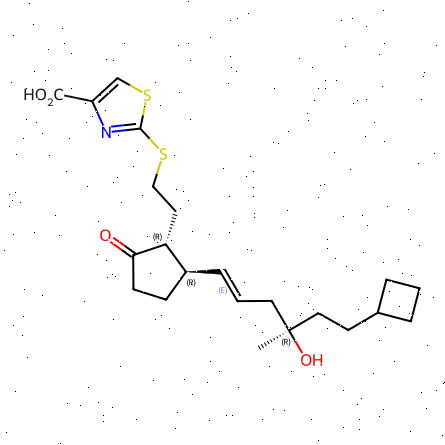 C[C@](O)(C/C=C/[C@H]1CCC(=O)[C@@H]1CCSc1nc(C(=O)O)cs1)CCC1CCC1